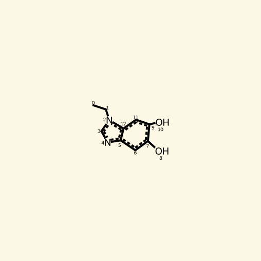 CCn1cnc2cc(O)c(O)cc21